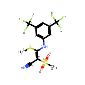 CSC(Nc1cc(C(F)(F)F)cc(C(F)(F)F)c1)=C(C#N)S(C)(=O)=O